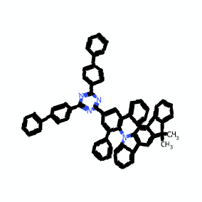 CC1(C)c2ccccc2-c2cc3c(cc21)c1ccccc1n3-c1c(-c2ccccc2)cc(-c2nc(-c3ccc(-c4ccccc4)cc3)nc(-c3ccc(-c4ccccc4)cc3)n2)cc1-c1ccccc1